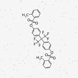 Cc1ccccc1S(=O)(=O)Oc1ccc(C(c2ccc(OS(=O)(=O)c3ccccc3C)cc2)(C(F)(F)F)C(F)(F)F)cc1